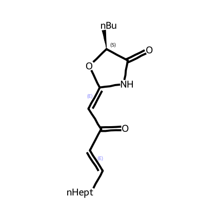 CCCCCCC/C=C/C(=O)/C=C1\NC(=O)[C@H](CCCC)O1